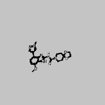 COc1ccc(-c2cnn(C)c2)c2nc(NC(=O)N3CCC4(CC3)OCCO4)[nH]c12